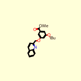 CCC(C)Oc1cc(OCc2ccc3ccccc3n2)cc(C(=O)OC)c1